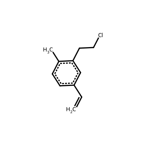 C=Cc1ccc(C)c(CCCl)c1